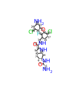 NCC(=O)Nc1ccc2cc(C(=O)NCc3ccc(Cl)c(Oc4cc(N)cc(Cl)c4)c3F)[nH]c2c1